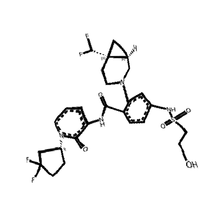 O=C(Nc1cccn([C@@H]2CCC(F)(F)C2)c1=O)c1ccc(NS(=O)(=O)CCO)cc1N1CC[C@@]2(C(F)F)C[C@H]2C1